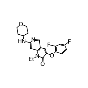 CCn1c(=O)c(Oc2ccc(F)cc2F)cc2cnc(NC3CCOCC3)cc21